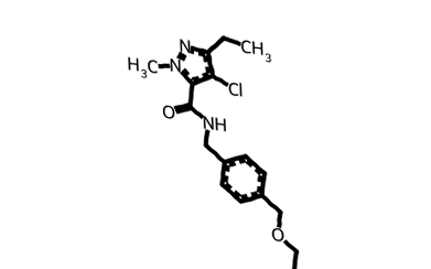 CCc1nn(C)c(C(=O)NCc2ccc(COCC[18F])cc2)c1Cl